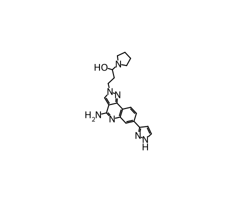 Nc1nc2cc(-c3cc[nH]n3)ccc2c2nn(CCC(O)N3CCCC3)cc12